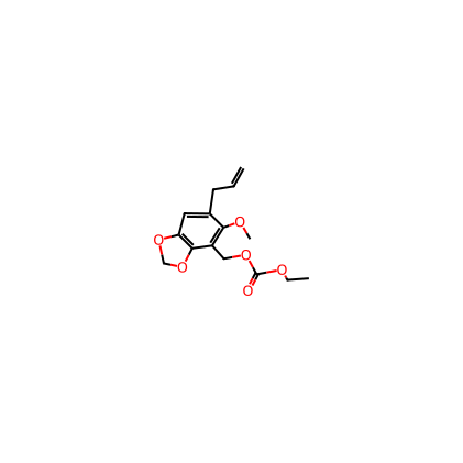 C=CCc1cc2c(c(COC(=O)OCC)c1OC)OCO2